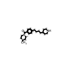 CN1CCN(C(=O)c2ccc(CCCCC3CCNCC3)cc2)CC1